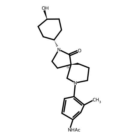 CC(=O)Nc1ccc(N2CCC[C@]3(CCN([C@H]4CC[C@H](O)CC4)C3=O)C2)c(C)c1